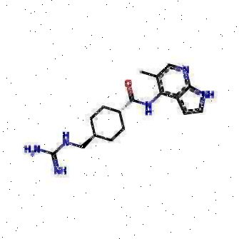 Cc1cnc2[nH]ccc2c1NC(=O)[C@H]1CC[C@H](CNC(=N)N)CC1